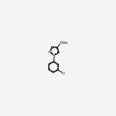 COc1cnn(-c2cccc(Cl)c2)c1